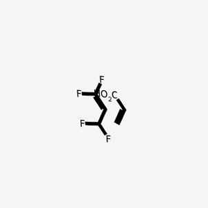 C=CC(=O)O.FC(F)=CC(F)F